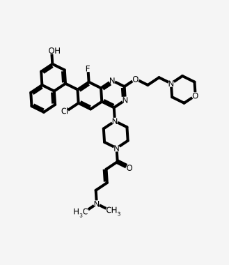 CN(C)C/C=C/C(=O)N1CCN(c2nc(OCCN3CCOCC3)nc3c(F)c(-c4cc(O)cc5ccccc45)c(Cl)cc23)CC1